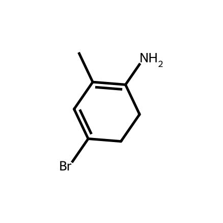 CC1=C(N)CCC(Br)=C1